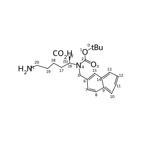 CC(C)(C)OC(=O)N(Cc1ccc2ccccc2c1)[C@@H](CCCCN)C(=O)O